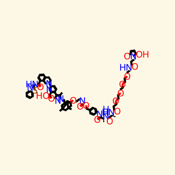 Cc1c(-c2ccc(N3CCc4cccc(C(=O)Nc5nc6ccccc6s5)c4C3)nc2C(=O)O)cnn1CC12CC3(C)CC(C)(C1)CC(OCCN(C)C(=O)OCc1ccc(NC(=O)[C@H](C)NC(=O)[C@H](C)NC(=O)CCOCCOCCOCCOCCNC(=O)CCN4C(=O)C=CC4O)cc1)(C3)C2